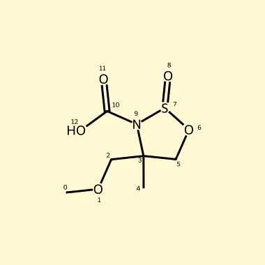 COCC1(C)COS(=O)N1C(=O)O